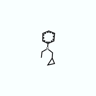 CCN(CC1CC1)c1ccccc1